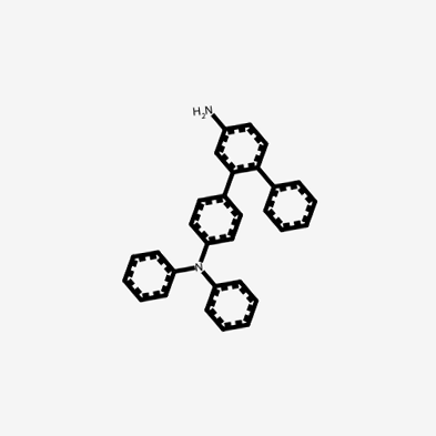 Nc1ccc(-c2ccccc2)c(-c2ccc(N(c3ccccc3)c3ccccc3)cc2)c1